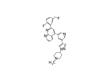 CN1CCC(n2cc(-c3cncc(-c4cc(-c5cc(CF)ccc5F)nc5ncccc45)c3)cn2)CC1